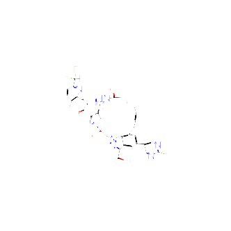 CC(=O)c1nn2c3c(cc(-c4cnc(C)nc4)cc13)CC=CCCCC(=O)NC[C@]1(F)CN(C[C@@H]1C(=O)Nc1nc(C(F)(F)F)ccc1C)C(=O)C2